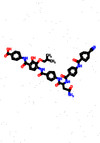 CC(C)COc1c(NC(=O)c2ccc(NC(=O)C(CC(N)=O)NC(=O)c3ccc(NC(=O)c4ccc(C#N)cc4)cc3)cc2)ccc(C(=O)Nc2ccc(C(=O)O)cc2)c1O